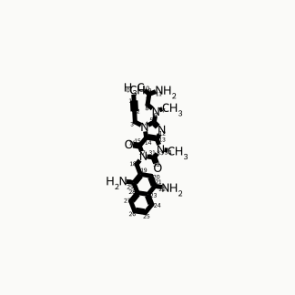 CC#CCn1c(N(C)CC(C)N)nc2c1c(=O)n(Cc1cc(N)c3ccccc3c1N)c(=O)n2C